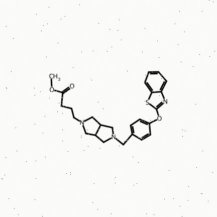 COC(=O)CCCN1CC2CN(Cc3ccc(Oc4nc5ccccc5s4)cc3)CC2C1